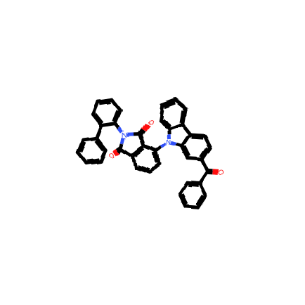 O=C(c1ccccc1)c1ccc2c3ccccc3n(-c3cccc4c3C(=O)N(c3ccccc3-c3ccccc3)C4=O)c2c1